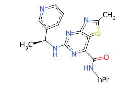 CCCNC(=O)c1nc(N[C@@H](C)c2cccnc2)nc2nc(C)sc12